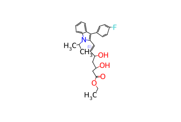 CCOC(=O)CC(O)CC(O)/C=C/c1c(-c2ccc(F)cc2)c2ccccc2n1C(C)C